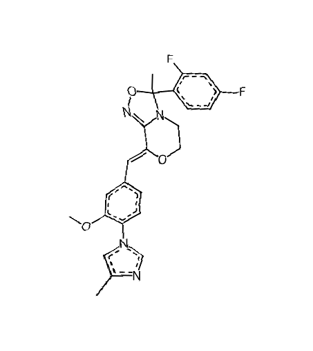 COc1cc(/C=C2\OCCN3C2=NOC3(C)c2ccc(F)cc2F)ccc1-n1cnc(C)c1